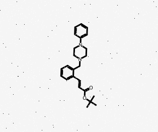 CC(C)(C)OC(=O)C=Cc1ccccc1CN1CCN(c2ccccc2)CC1